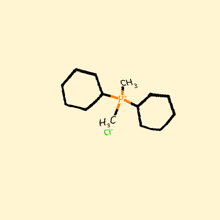 C[P+](C)(C1CCCCC1)C1CCCCC1.[Cl-]